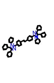 C(=Cc1ccc(-c2nc(-c3ccccc3)c(-c3ccccc3)n2-c2ccccc2)cc1)c1ccc(-c2nc(-c3ccccc3)c(-c3ccccc3)n2-c2ccccc2)cc1